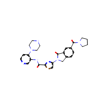 O=C(Nc1cnccc1N1CCNCC1)c1nc(N2Cc3ccc(C(=O)N4CCCC4)cc3C2=O)cs1